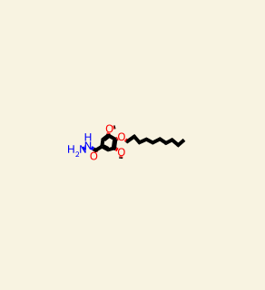 CCCCCCCCCCOc1c(OC)cc(C(=O)NN)cc1OC